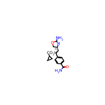 NC(=O)c1ccc(CC[C@H]2COC(N)=N2)cc1.O=C(O)C1CC1